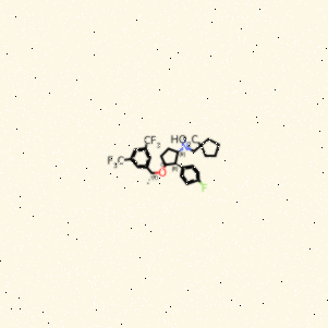 C[C@@H](O[C@H]1CC[C@@H](N(C)CC2(C(=O)O)CCCC2)[C@H]1c1ccc(F)cc1)c1cc(C(F)(F)F)cc(C(F)(F)F)c1